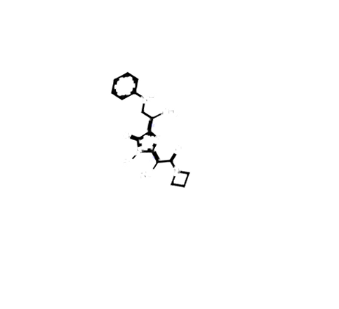 CCn1c(=O)/c(=C(/C)CNc2ccccc2)s/c1=C(/C#N)C(=O)N1CCC1